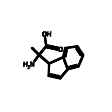 CC(N)(C(=O)O)C1C=Cc2ccccc21